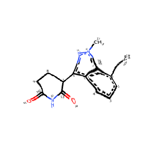 CCc1cccc2c(C3CCC(=O)NC3=O)nn(C)c12